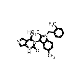 O=C(O)c1c(-n2c(=O)[nH]c3cscc3c2=O)c2cc(C(F)(F)F)ccc2n1Cc1ccccc1C(F)(F)F